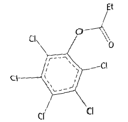 CCC(=O)Oc1c(Cl)c(Cl)c(Cl)c(Cl)c1Cl